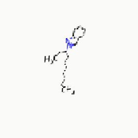 CCCCCCCC(CC)n1cc2ccccc2n1